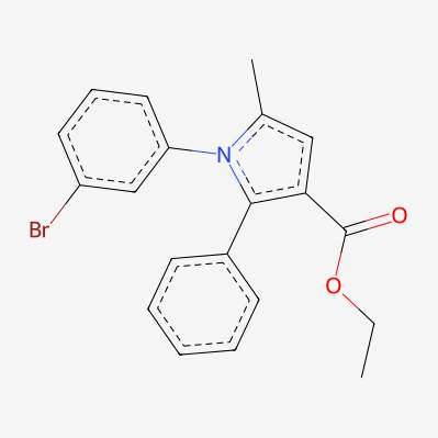 CCOC(=O)c1cc(C)n(-c2cccc(Br)c2)c1-c1ccccc1